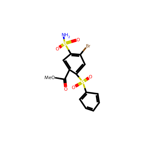 COC(=O)c1cc(S(N)(=O)=O)c(Br)cc1S(=O)(=O)c1ccccc1